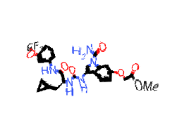 COC(=O)COc1ccc2c(NC(=O)N[C@@H](CC3CC3)C(=O)Nc3cccc(OC(F)(F)F)c3)cn(C(N)=O)c2c1